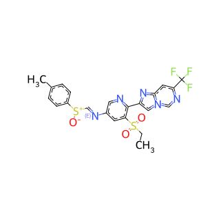 CCS(=O)(=O)c1cc(/N=C/[S+]([O-])c2ccc(C)cc2)cnc1-c1cn2cnc(C(F)(F)F)cc2n1